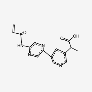 C=CC(=O)Nc1cnc(-c2cncc(C(C)C(=O)O)c2)cn1